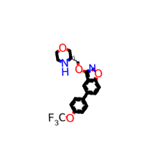 FC(F)(F)Oc1ccc(-c2ccc3onc(OC[C@H]4COCCN4)c3c2)cc1